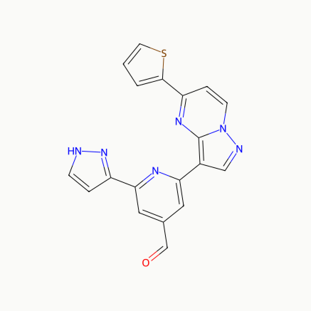 O=Cc1cc(-c2cc[nH]n2)nc(-c2cnn3ccc(-c4cccs4)nc23)c1